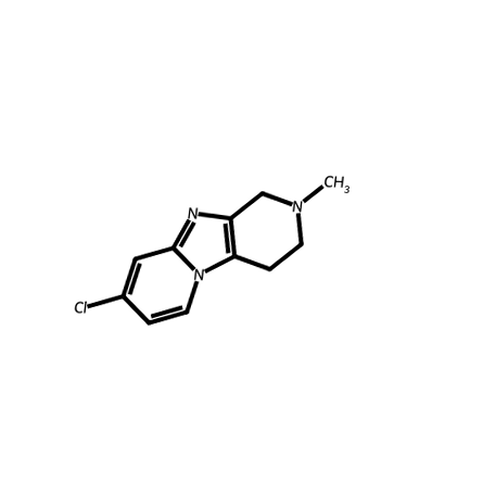 CN1CCc2c(nc3cc(Cl)ccn23)C1